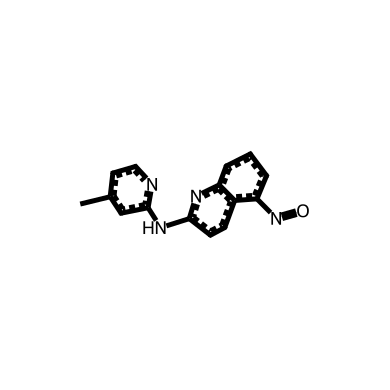 Cc1ccnc(Nc2ccc3c(N=O)cccc3n2)c1